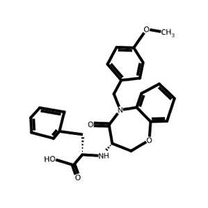 COc1ccc(CN2C(=O)[C@@H](N[C@@H](Cc3ccccc3)C(=O)O)COc3ccccc32)cc1